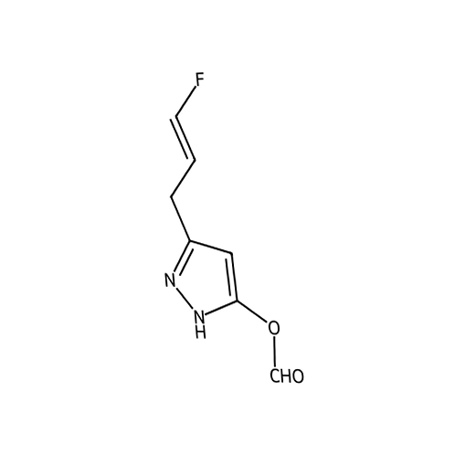 O=COc1cc(CC=CF)n[nH]1